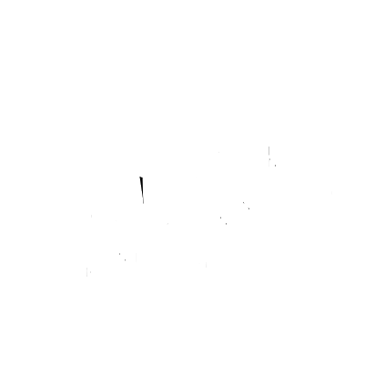 CC(C)C[C@@H](C(=O)NN1C(=O)N[C@H](C(C)C)C1=O)[C@H](CCCc1ccccc1)C(=O)NO